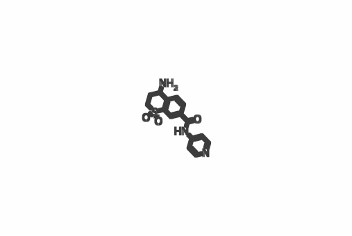 NC1CCS(=O)(=O)c2cc(C(=O)Nc3ccncc3)ccc21